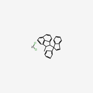 CC1c2cccc3cccc(c23)C1C1(c2cc[c]cc2)C=Cc2ccccc21.[Cl][Zr][Cl]